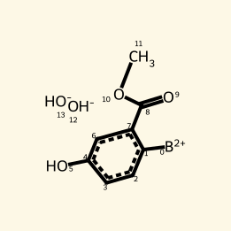 [B+2]c1ccc(O)cc1C(=O)OC.[OH-].[OH-]